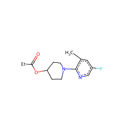 CCC(=O)OC1CCN(c2ncc(F)cc2C)CC1